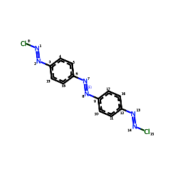 ClN=Nc1ccc(/N=N/c2ccc(N=NCl)cc2)cc1